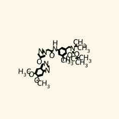 COc1cc2ncnc(Oc3cnn(CC(=O)Nc4cc(C)cc(CN(C(=O)OC(C)(C)C)C(C)C)c4)c3)c2cc1OC